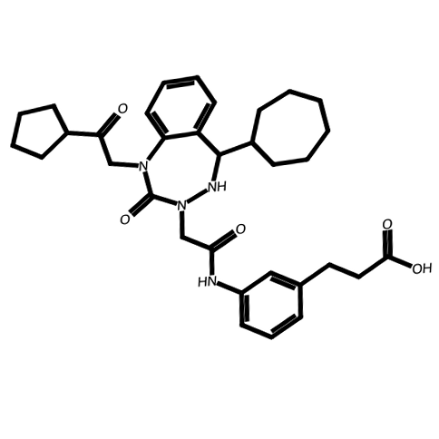 O=C(O)CCc1cccc(NC(=O)CN2NC(C3CCCCCC3)c3ccccc3N(CC(=O)C3CCCC3)C2=O)c1